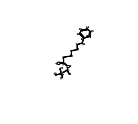 CC(OC(=O)CCCCCCc1ccccn1)[Si](C)(C)C